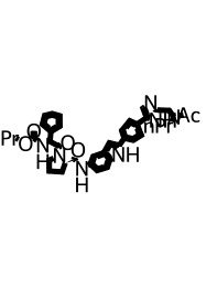 CCCN(Cc1ncc(-c2ccc(-c3cc4cc(NC(=O)[C@@H]5CCCN5C(=O)[C@H](NC(=O)OC(C)C)c5ccccc5)ccc4[nH]3)cc2)[nH]1)C(C)=O